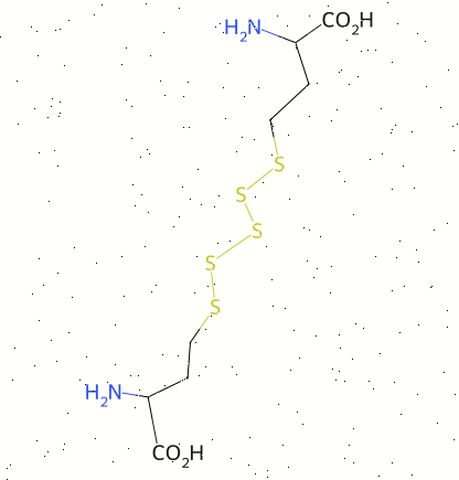 NC(CCSSSSSCCC(N)C(=O)O)C(=O)O